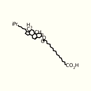 CC(C)CCCCC1CCC2C3CC=C4CC(OC(=O)CCCCCCCCCCCCCCC(=O)O)CCC4(C)C3CCC12C